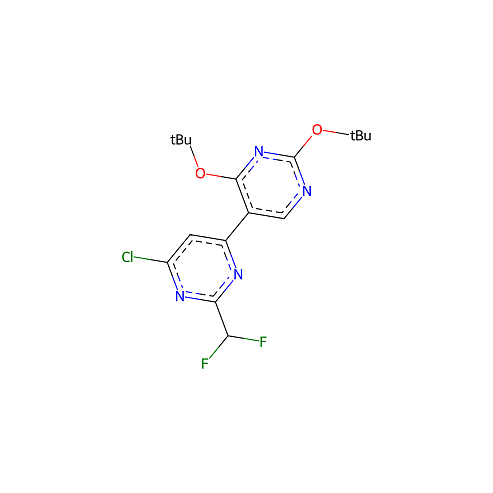 CC(C)(C)Oc1ncc(-c2cc(Cl)nc(C(F)F)n2)c(OC(C)(C)C)n1